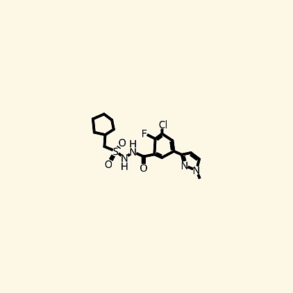 Cn1ccc(-c2cc(Cl)c(F)c(C(=O)NNS(=O)(=O)CC3CCCCC3)c2)n1